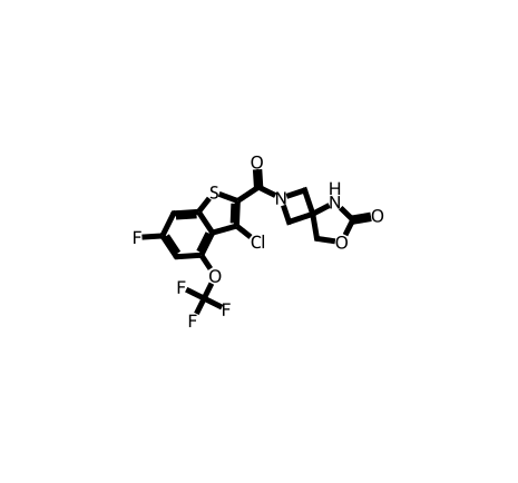 O=C1NC2(CO1)CN(C(=O)c1sc3cc(F)cc(OC(F)(F)F)c3c1Cl)C2